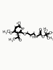 COc1cc(Cl)nc(OCCCNC(=O)OC(C)(C)C)c1C(C)=O